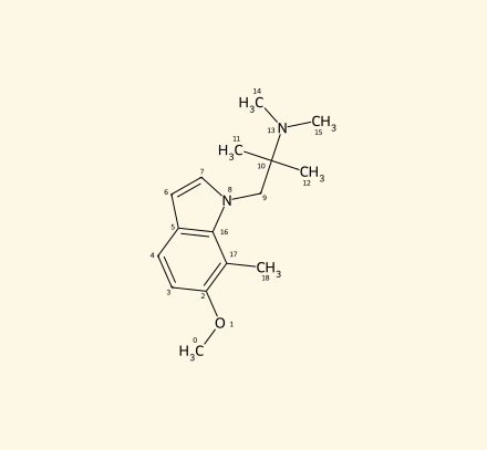 COc1ccc2ccn(CC(C)(C)N(C)C)c2c1C